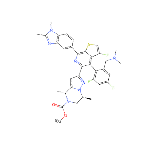 Cc1nc2cc(-c3nc(-c4cc5n(n4)[C@@H](C)CN(C(=O)OC(C)(C)C)[C@@H]5C)c(-c4c(F)cc(F)cc4CN(C)C)c4c(F)csc34)ccc2n1C